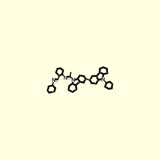 C/C(=N\c1ccccc1/C=N/c1ccccc1)n1c2ccccc2c2cc(-c3ccc4c(c3)c3ccccc3n4-c3ccccc3)ccc21